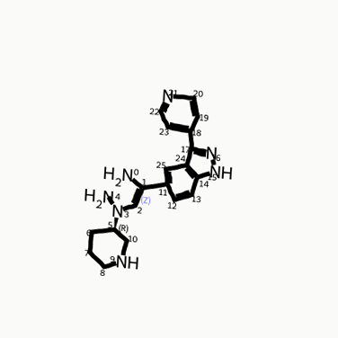 N/C(=C\N(N)[C@@H]1CCCNC1)c1ccc2[nH]nc(-c3ccncc3)c2c1